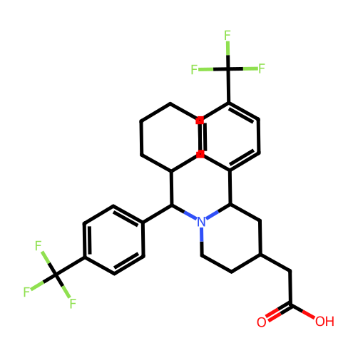 O=C(O)CC1CCN(C(c2ccc(C(F)(F)F)cc2)C2CCCCC2)C(c2ccc(C(F)(F)F)cc2)C1